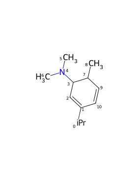 CC(C)C1=CC(N(C)C)C(C)C=C1